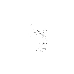 C[Si](C)(C)CCOCn1c(CO)cc2cc(-n3c(=O)n(C[C@H]4CC[C@H](NC(=O)c5cc(Cl)cnc5C(F)F)CC4)c4ccccc43)cnc21